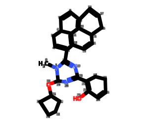 CN1C(C2=CCC3C=CC4=C5C3=C2C=CC5CC=C4)=NC(C2=C(O)C=CCC2)=NC1OC1CCCC1